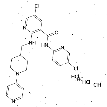 Cl.Cl.Cl.Cl.O=C(Nc1ccc(Cl)cn1)c1cc(Cl)cnc1NCC1CCN(c2ccncc2)CC1